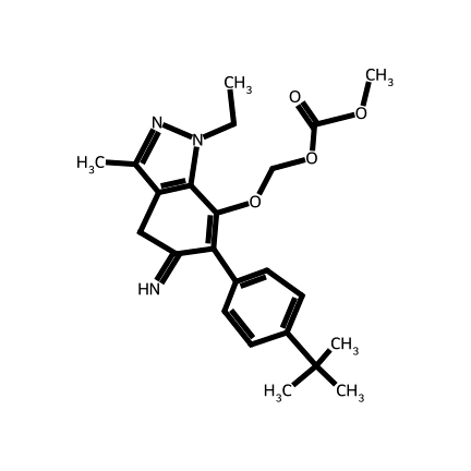 CCn1nc(C)c2c1C(OCOC(=O)OC)=C(c1ccc(C(C)(C)C)cc1)C(=N)C2